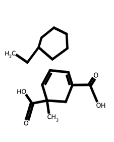 CC1(C(=O)O)C=CC=C(C(=O)O)C1.CCC1CCCCC1